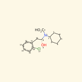 O=C(O)N(C1CCCCC1)[C@H](O)Cc1ccccc1Cl